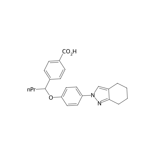 CCCC(Oc1ccc(-n2cc3c(n2)CCCC3)cc1)c1ccc(C(=O)O)cc1